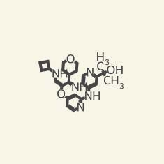 CC(C)(O)c1cc(Nc2cc(O/C(=C/NC3CCC3)C(=N)C3CCOCC3)ccn2)ccn1